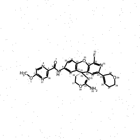 COc1cnc(C(=O)Nc2ccc3c(c2)[C@@]2(CCOC(N)=N2)c2cc(C4=CCCOC4)nc(F)c2O3)cn1